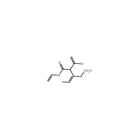 C=COC(=O)C(C(=C)Cl)C(=CC)CC(=O)O